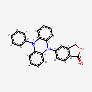 O=C1OCc2cc(N3c4ccccc4N(c4ccccc4)c4ccccc43)ccc21